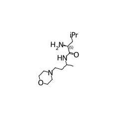 CC(C)C[C@H](N)C(=O)NC(C)CCN1CCOCC1